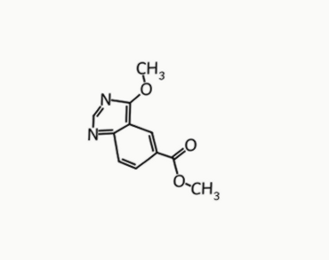 COC(=O)c1ccc2ncnc(OC)c2c1